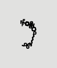 CCOC(=O)CN(C)CCCCCCOC1CCC(N(C)S(=O)(=O)c2ccc(C(F)(F)F)cc2)CC1